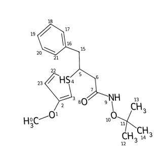 COC1=C[SH](C(CC(=O)NOC(C)(C)C)Cc2ccccc2)C=C1